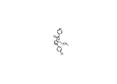 CCCc1c(C(=O)Nc2ccncc2)cnn1-c1ccc(Cl)cc1